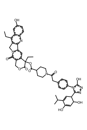 CCc1c2c(nc3ccc(O)cc13)-c1cc3c(c(=O)n1C2)COC(=O)C3(CC)OC(=O)C1CCN(C(=O)Cc2ccc(-n3c(O)nnc3C3C=C(C(C)C)C(O)=CC3O)cc2)CC1